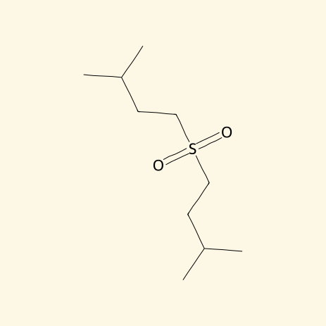 CC(C)CCS(=O)(=O)CCC(C)C